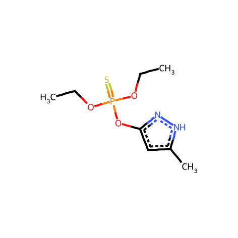 CCOP(=S)(OCC)Oc1cc(C)[nH]n1